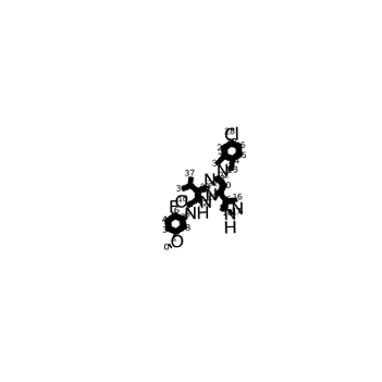 COc1ccc(F)c(NC(=O)c2nn3c(-c4cn[nH]c4)cc(N4Cc5ccc(Cl)cc5C4)nc3c2C(C)C)c1